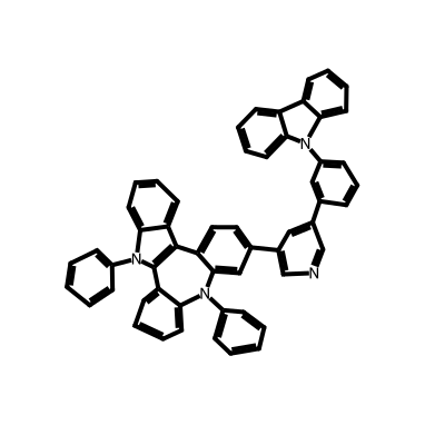 c1ccc(N2c3cc(-c4cncc(-c5cccc(-n6c7ccccc7c7ccccc76)c5)c4)ccc3-c3c(n(-c4ccccc4)c4ccccc34)-c3ccccc32)cc1